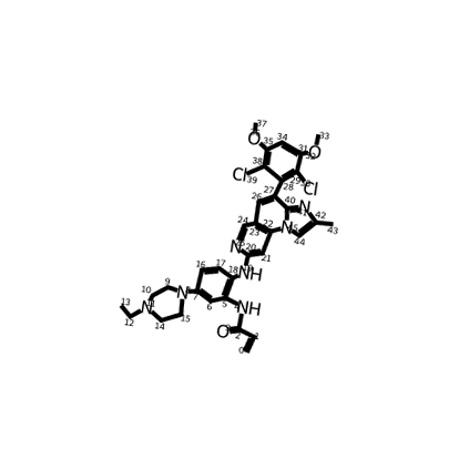 C=CC(=O)Nc1cc(N2CCN(CC)CC2)ccc1Nc1cc2c(cn1)cc(-c1c(Cl)c(OC)cc(OC)c1Cl)c1nc(C)cn12